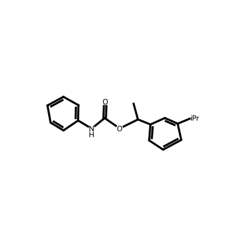 CC(C)c1cccc(C(C)OC(=O)Nc2ccccc2)c1